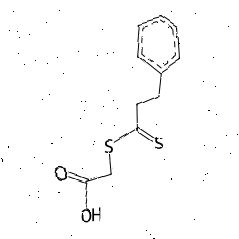 O=C(O)CSC(=S)CCc1ccccc1